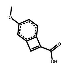 COc1ccc2c(c1)C=C2C(=O)O